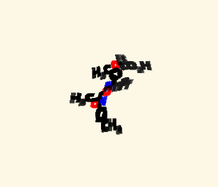 CCC/C(=N\OCc1nc(-c2ccc(C)cc2)oc1C)c1ccc(OC(CC)C(=O)O)c(C)c1